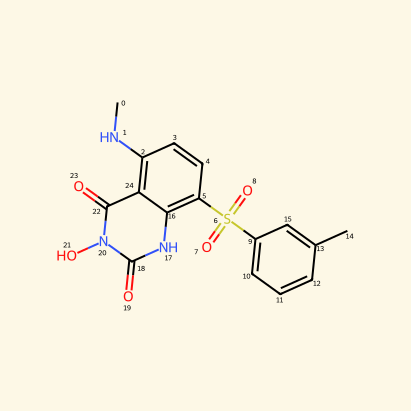 CNc1ccc(S(=O)(=O)c2cccc(C)c2)c2[nH]c(=O)n(O)c(=O)c12